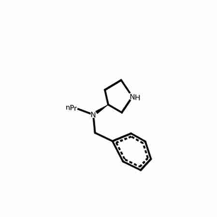 CCCN(Cc1ccccc1)[C@H]1CCNC1